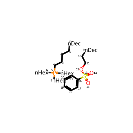 CCCCCCCCCCCCCC[P+](CCCCCC)(CCCCCC)CCCCCC.CCCCCCCCCCCCOS(=O)(=O)c1ccccc1